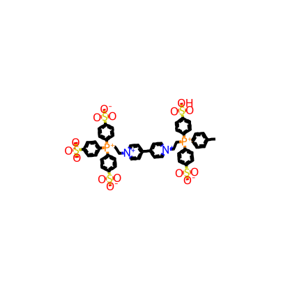 Cc1ccc([P+](CC[n+]2ccc(-c3cc[n+](CC[P+](c4ccc(S(=O)(=O)[O-])cc4)(c4ccc(S(=O)(=O)[O-])cc4)c4ccc(S(=O)(=O)[O-])cc4)cc3)cc2)(c2ccc(S(=O)(=O)[O-])cc2)c2ccc(S(=O)(=O)O)cc2)cc1